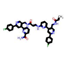 C=CC(=O)NCc1cnc(-c2ccc(F)cc2)cc1-c1cccc(N/C=C/C(=O)NCc2cnc(-c3ccc(F)cc3)cc2-c2cccc(C(N)=O)n2)n1